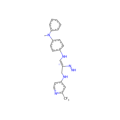 CN(c1ccccc1)c1ccc(N/C=C(/CNc2ccnc(C(F)(F)F)c2)N=N)cc1